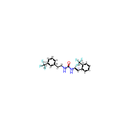 O=C(N/C=C/c1ccccc1C(F)(F)F)NCCc1cccc(C(F)(F)F)c1